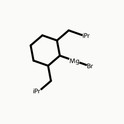 CC(C)CC1CCCC(CC(C)C)[CH]1[Mg][Br]